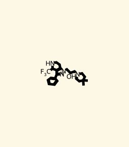 CC1(C)CCN(CC(O)Cn2nc(-c3ccccc3)c3c2CCNC3C(F)(F)F)CC1